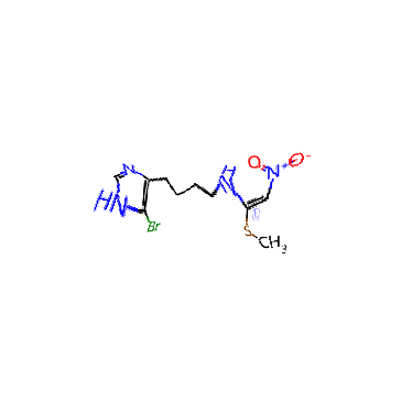 CS/C(=C/[N+](=O)[O-])NCCCCc1nc[nH]c1Br